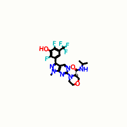 CC(C)NC(=O)[C@@H]1COCCN1c1ncc2c(-c3cc(C(F)(F)F)c(F)c(O)c3F)nn(C)c2n1